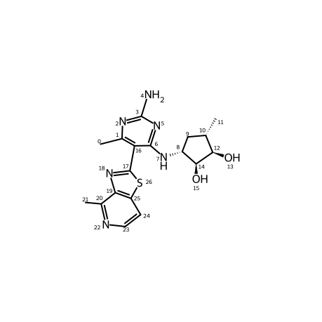 Cc1nc(N)nc(N[C@@H]2C[C@H](C)[C@@H](O)[C@H]2O)c1-c1nc2c(C)nccc2s1